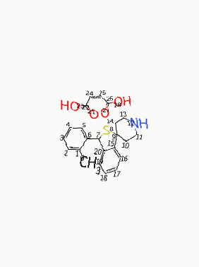 Cc1ccccc1C1SC2(CCNCC2)c2ccccc21.O=C(O)/C=C\C(=O)O